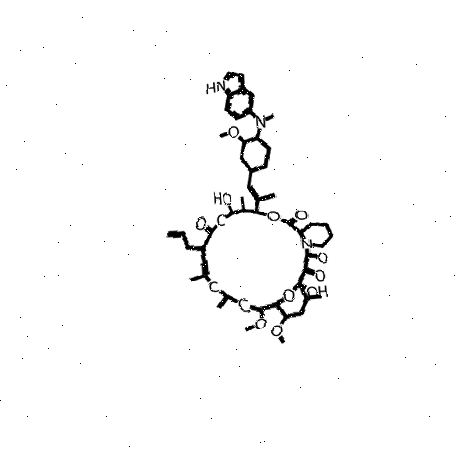 C=CCC1/C=C(\C)CC(C)CC(OC)C2OC(O)(C(=O)C(=O)N3CCCCC3C(=O)OC(C(C)=CC3CCC(N(C)c4ccc5[nH]ccc5c4)C(OC)C3)C(C)C(O)CC1=O)C(C)CC2OC